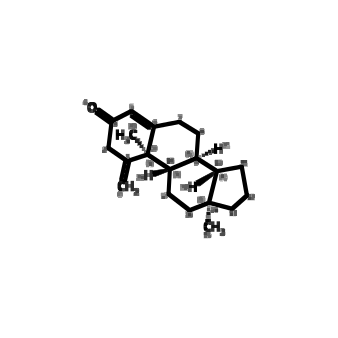 C=C1CC(=O)C=C2CC[C@H]3[C@@H]4CCC[C@@]4(C)CC[C@@H]3[C@@]12C